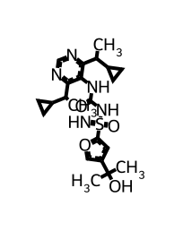 CC(c1ncnc(C(C)C2CC2)c1NC(=O)NS(=N)(=O)c1cc(C(C)(C)O)co1)C1CC1